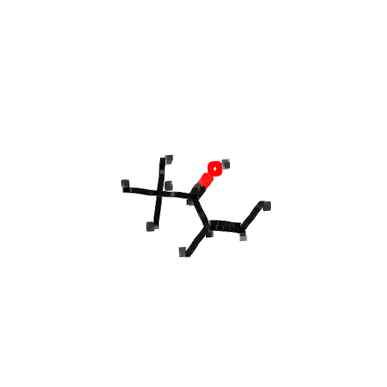 CC=C(C)C(=O)C(C)(C)C